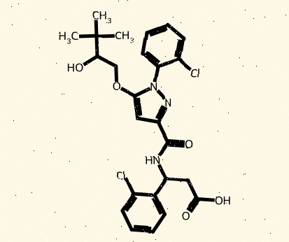 CC(C)(C)C(O)COc1cc(C(=O)NC(CC(=O)O)c2ccccc2Cl)nn1-c1ccccc1Cl